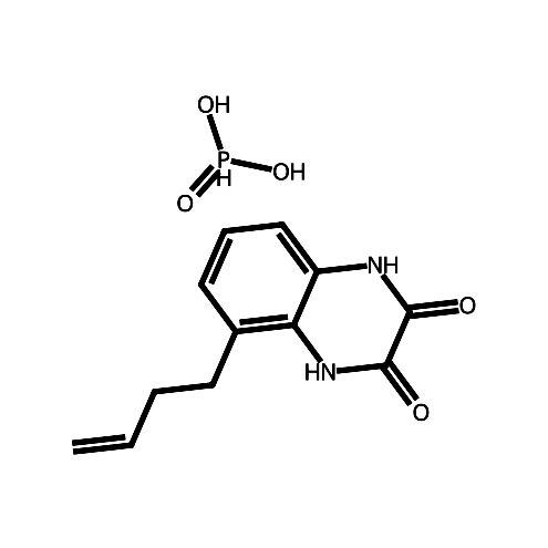 C=CCCc1cccc2[nH]c(=O)c(=O)[nH]c12.O=[PH](O)O